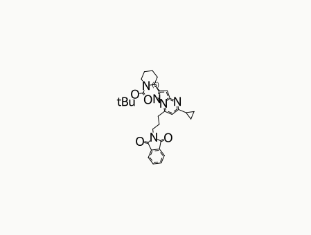 CC(C)(C)OC(=O)N1CCCC[C@H]1c1cc2nc(C3CC3)cc(CCCN3C(=O)c4ccccc4C3=O)n2n1